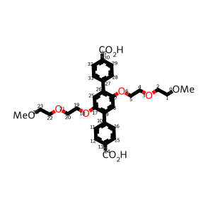 COCCOCCOc1cc(-c2ccc(C(=O)O)cc2)c(OCCOCCOC)cc1-c1ccc(C(=O)O)cc1